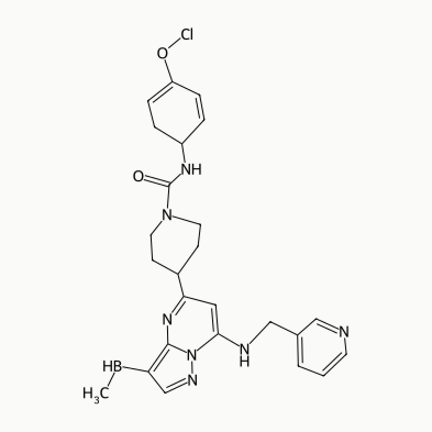 CBc1cnn2c(NCc3cccnc3)cc(C3CCN(C(=O)NC4C=CC(OCl)=CC4)CC3)nc12